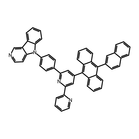 c1ccc(-c2cc(-c3c4ccccc4c(-c4ccc5ccccc5c4)c4ccccc34)cc(-c3ccc(-n4c5ccccc5c5cnccc54)cc3)n2)nc1